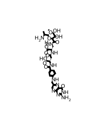 CO[C@H](OC(C(=O)NC[C@H](NC(=O)C[C@H](NC(=O)c1ccc(NCc2cnc3nc(N)[nH]c(=O)c3n2)cc1)C(=O)O)C(=O)O)[C@@H](O)CO)C(C)N